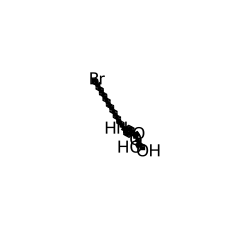 O=C(OCC(O)CO)c1ccc(NCCCCCCCCCCCCCCCCBr)cc1